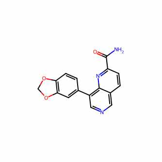 NC(=O)c1ccc2cncc(-c3ccc4c(c3)OCO4)c2n1